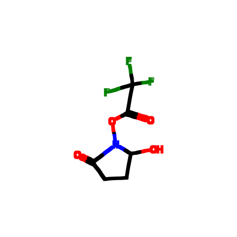 O=C1CCC(O)N1OC(=O)C(F)(F)F